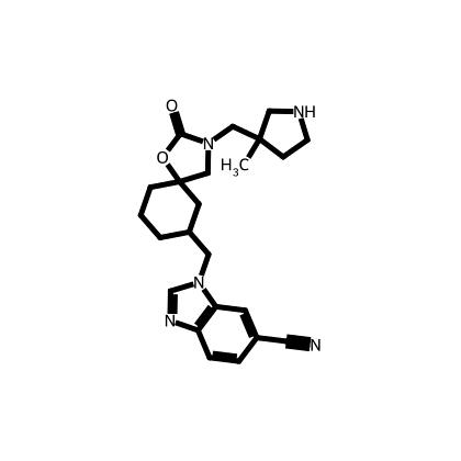 CC1(CN2CC3(CCCC(Cn4cnc5ccc(C#N)cc54)C3)OC2=O)CCNC1